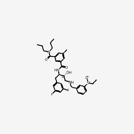 CCCN(CCC)C(=O)c1cc(C)cc(C(=O)NC(Cc2cc(F)cc(F)c2)[C@H](O)CNCc2cccc([S+]([O-])CC)c2)c1